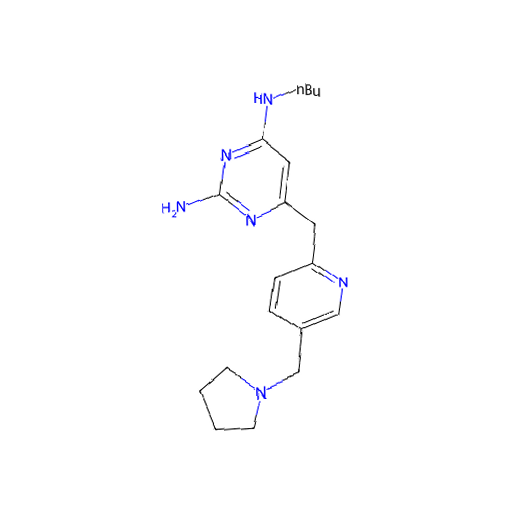 CCCCNc1cc(Cc2ccc(CN3CCCC3)cn2)nc(N)n1